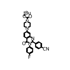 CC(C)(C)OC(=O)N1CCN(c2ccc3c(=O)n(-c4ccc(F)cc4)c(-c4ccc(C#N)cc4)nc3c2)CC1